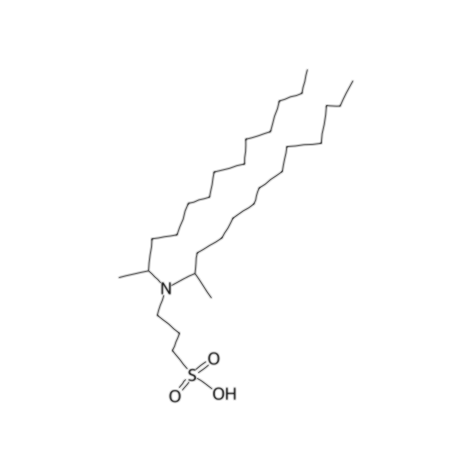 CCCCCCCCCCCC(C)N(CCCS(=O)(=O)O)C(C)CCCCCCCCCCC